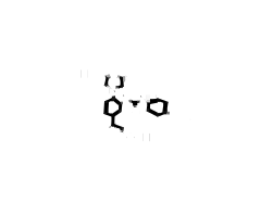 CC[C@H](CC(=O)O)c1ccc(N2C[C@@H](C)O[C@@H](C)C2)c(NC(=O)Nc2ccc(C)cc2)c1